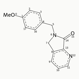 COc1ccc(CN2Cc3cccnc3C2=O)cc1